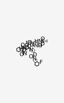 C=C[C@@H]1C[C@]1(NC(=O)[C@@H]1C[C@@H](OC(=O)N2Cc3cccc(F)c3C2)CN1C(=O)[C@H](CN(C)S(=O)(=O)c1ccccc1[N+](=O)[O-])NC(=O)OC(C)(C)C)C(=O)NS(=O)(=O)C1CC1